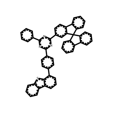 c1ccc(-c2nc(-c3ccc(-c4cccc5c4sc4ccccc45)cc3)nc(-c3ccc4c(c3)C3(c5ccccc5-c5ccccc53)c3ccccc3-4)n2)cc1